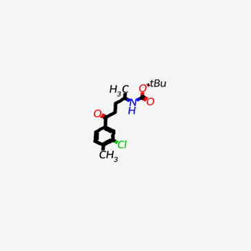 Cc1ccc(C(=O)CCC(C)NC(=O)OC(C)(C)C)cc1Cl